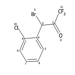 O=C(C(Br)c1ccccc1Cl)C(F)(F)F